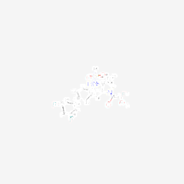 COC(F)C(=O)N1CC2(CC2)C(NS(C)(=O)=O)C1Cc1cccc(-c2cc(F)cc(F)c2)c1